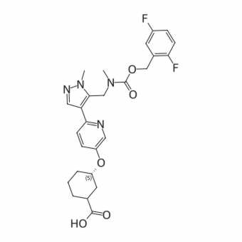 CN(Cc1c(-c2ccc(O[C@H]3CCCC(C(=O)O)C3)cn2)cnn1C)C(=O)OCc1cc(F)ccc1F